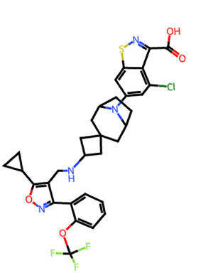 O=C(O)c1nsc2cc(N3C4CCC3CC3(CC(NCc5c(-c6ccccc6OC(F)(F)F)noc5C5CC5)C3)C4)cc(Cl)c12